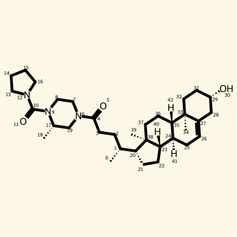 C[C@H](CCC(=O)N1CCN(C(=O)N2CCCC2)[C@@H](C)C1)[C@H]1CC[C@H]2[C@@H]3CC=C4C[C@@H](O)CC[C@]4(C)[C@H]3CC[C@]12C